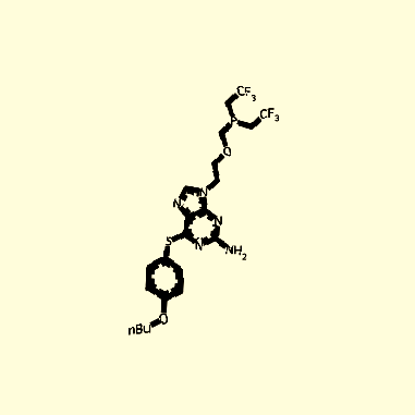 CCCCOc1ccc(Sc2nc(N)nc3c2ncn3CCOCP(CC(F)(F)F)CC(F)(F)F)cc1